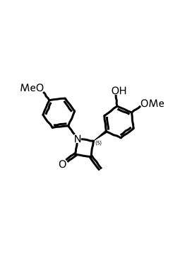 C=C1C(=O)N(c2ccc(OC)cc2)[C@H]1c1ccc(OC)c(O)c1